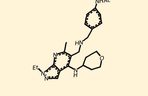 CCn1ncc2c(NC3CCOCC3)c(CNCc3ccc(NC(C)=O)cc3)c(C)nc21